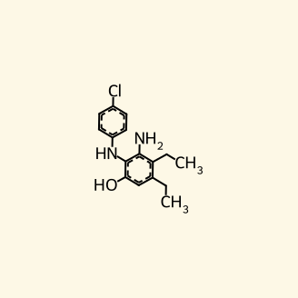 CCc1cc(O)c(Nc2ccc(Cl)cc2)c(N)c1CC